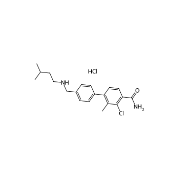 Cc1c(-c2ccc(CNCCC(C)C)cc2)ccc(C(N)=O)c1Cl.Cl